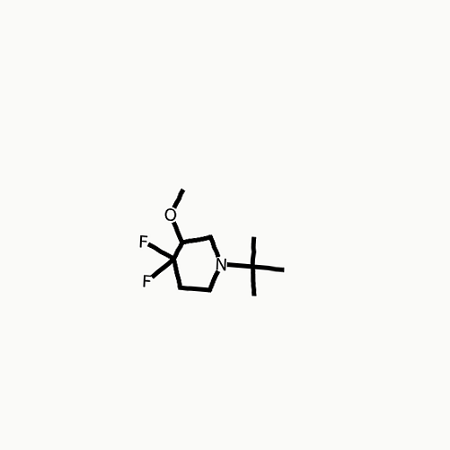 COC1CN(C(C)(C)C)CCC1(F)F